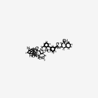 COc1c(CN2O[C@@H](CO)[C@@H]([C@H](C)O)[C@H]2C(=O)N[C@@H]2C[C@H]3C[C@@H]([C@@H]2C)C3(C)C)cccc1-c1cccc(C(=O)N[C@H](CC2CCCCC2)CN(C)C)c1